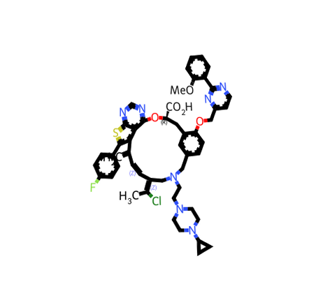 C=C1/C=C\C(=C(/C)Cl)CN(CCN2CCN(C3CC3)CC2)Cc2ccc(OCc3ccnc(-c4ccccc4OC)n3)c(c2)C[C@H](C(=O)O)Oc2ncnc3sc(-c4ccc(F)cc4)c1c23